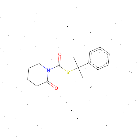 CC(C)(SC(=O)N1CCCCC1=O)c1ccccc1